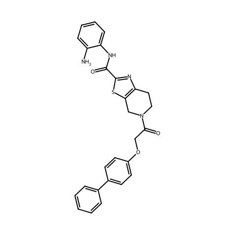 Nc1ccccc1NC(=O)c1nc2c(s1)CN(C(=O)COc1ccc(-c3ccccc3)cc1)CC2